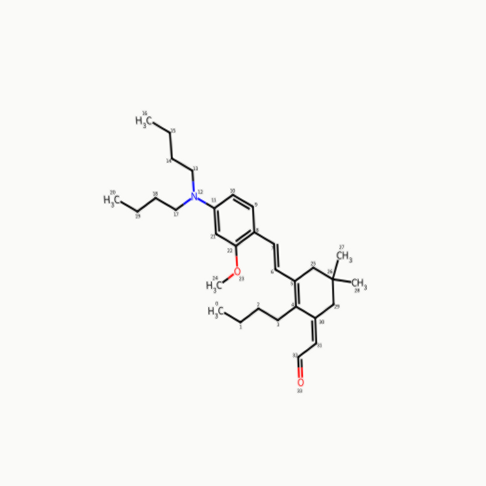 CCCCC1=C(C=Cc2ccc(N(CCCC)CCCC)cc2OC)CC(C)(C)CC1=CC=O